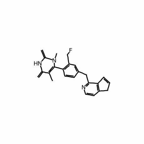 C=C1NC(=C)N(C)C(c2ccc(Cc3nccc4c3C=CC4)cc2CF)=C1C